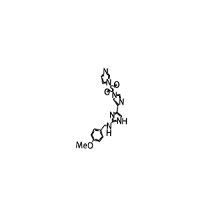 COc1ccc(CNc2nc(-c3cn(S(=O)(=O)n4ccnc4)cn3)c[nH]2)cc1